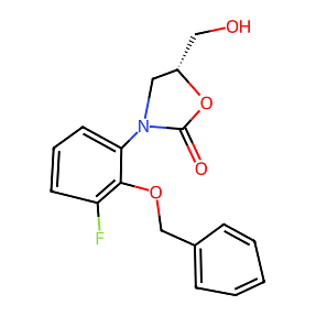 O=C1O[C@@H](CO)CN1c1cccc(F)c1OCc1ccccc1